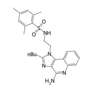 CCCCc1nc2c(N)nc3ccccc3c2n1CCNS(=O)(=O)c1c(C)cc(C)cc1C